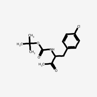 CC(=O)C(Cc1ccc(Cl)cc1)NC(=O)OC(C)(C)C